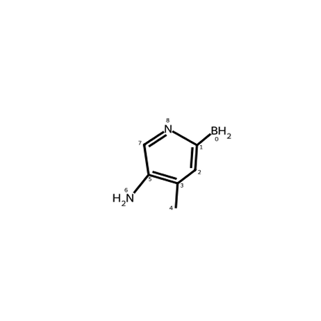 Bc1cc(C)c(N)cn1